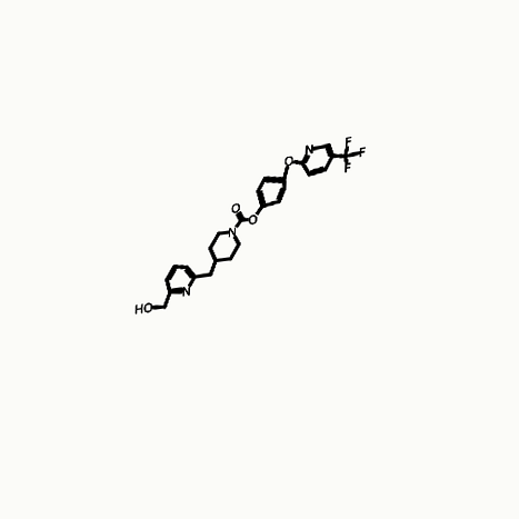 O=C(Oc1ccc(Oc2ccc(C(F)(F)F)cn2)cc1)N1CCC(Cc2cccc(CO)n2)CC1